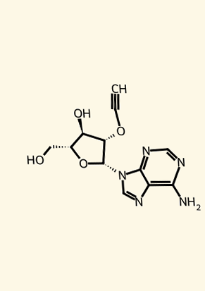 C#CO[C@H]1[C@H](O)[C@@H](CO)O[C@H]1n1cnc2c(N)ncnc21